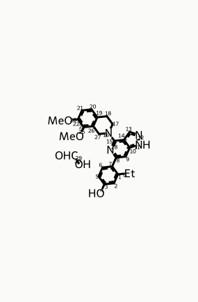 CCc1cc(O)ccc1-c1cc2[nH]ncc2c(N2CCc3ccc(OC)c(OC)c3C2)n1.O=CO